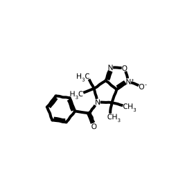 CC1(C)c2no[n+]([O-])c2C(C)(C)N1C(=O)c1ccccc1